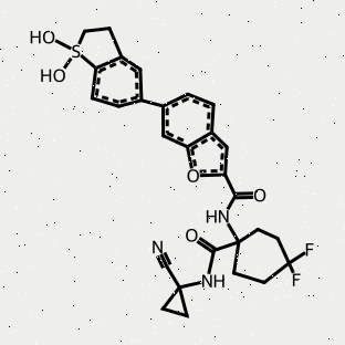 N#CC1(NC(=O)C2(NC(=O)c3cc4ccc(-c5ccc6c(c5)CCS6(O)O)cc4o3)CCC(F)(F)CC2)CC1